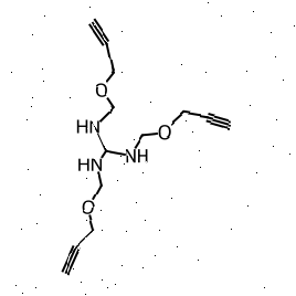 C#CCOCNC(NCOCC#C)NCOCC#C